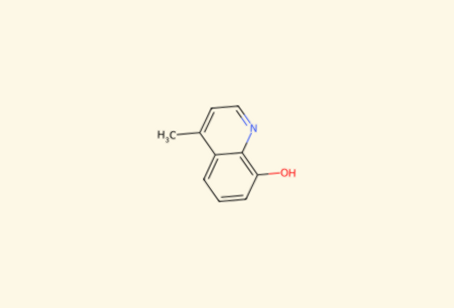 Cc1ccnc2c(O)cccc12